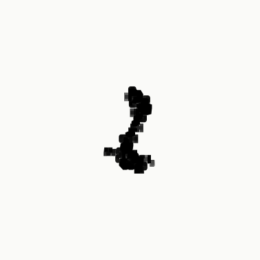 CC[C@@H]1C(=O)N(C)c2cnc(Nc3ccc(C(=O)NCCCNCCCC(=O)Nc4cccc5c4CN(C4CCC(=O)NC4=O)C5=O)cc3OC)nc2N1Cc1ccc(Cl)s1